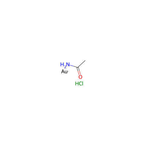 CC(N)=O.Cl.[Au]